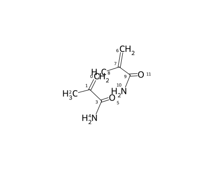 C=C(C)C(N)=O.C=C(C)C(N)=O